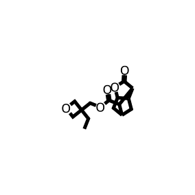 CCC1(COC(=O)C2C3CC4OC(=O)C2C4C3)COC1